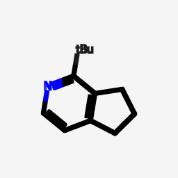 CC(C)(C)c1nccc2c1CCC2